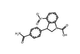 NC(=O)c1ccc(C2CN(C(=O)O)c3cccc([N+](=O)[O-])c32)cc1